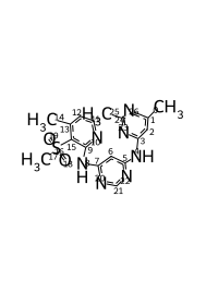 Cc1cc(Nc2cc(Nc3nccc(C)c3S(C)(=O)=O)ncn2)nc(C)n1